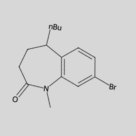 CCCCC1CCC(=O)N(C)c2cc(Br)ccc21